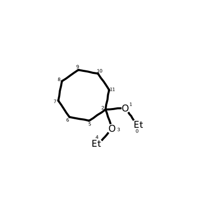 CCOC1(OCC)CCCCCCC1